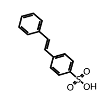 O=S(=O)(O)c1ccc(C=Cc2ccccc2)cc1